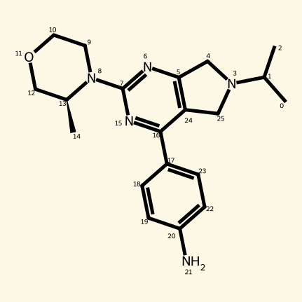 CC(C)N1Cc2nc(N3CCOC[C@@H]3C)nc(-c3ccc(N)cc3)c2C1